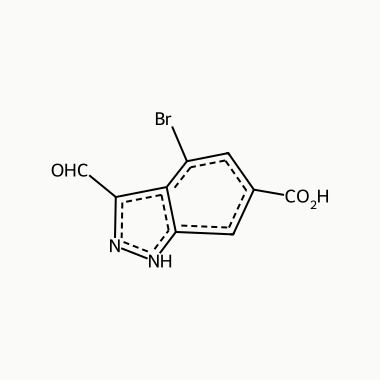 O=Cc1n[nH]c2cc(C(=O)O)cc(Br)c12